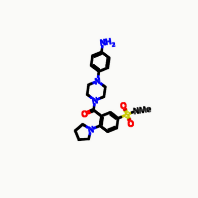 CNS(=O)(=O)c1ccc(N2CCCC2)c(C(=O)N2CCN(c3ccc(N)cc3)CC2)c1